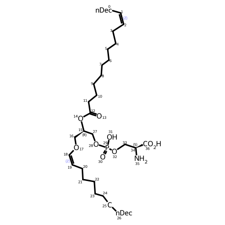 CCCCCCCCCC/C=C\CCCCCCCCCC(=O)O[C@H](CO/C=C\CCCCCCCCCCCCCCCC)COP(=O)(O)OC[C@H](N)C(=O)O